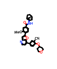 COc1cc(C(=O)NC2CC3CCC2CC3)ccc1-c1cc2nccc(-c3ccc(OC4CCOCC4)c(C#N)c3)c2o1